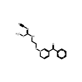 CSC(=NC#N)NCCSN1C=C(C(=O)c2ccccc2)C=CC1